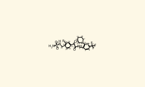 C[C@@H](C(=O)NCc1ccc(C(F)(F)F)nc1N1CCCCC1)c1ccc(CNS(N)(=O)=O)c(F)c1